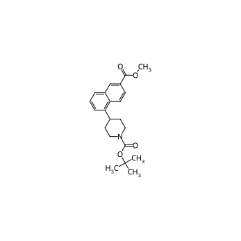 COC(=O)c1ccc2c(C3CCN(C(=O)OC(C)(C)C)CC3)cccc2c1